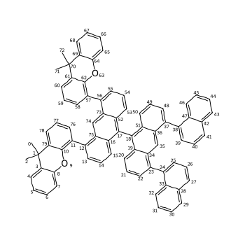 CC1(C)c2ccccc2Oc2c(-c3cccc4c(-c5c6cccc(-c7cccc8ccccc78)c6cc6c(-c7cccc8ccccc78)cccc56)c5cccc(-c6cccc7c6Oc6ccccc6C7(C)C)c5cc34)cccc21